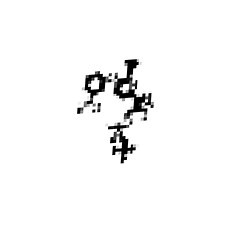 COC(=O)[C@H]1CCC[C@H](Oc2ccc(-c3nnn(C)c3COC(=O)N(C)CC(F)(F)F)nc2C2CC2)C1